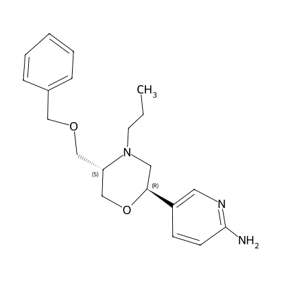 CCCN1C[C@@H](c2ccc(N)nc2)OC[C@@H]1COCc1ccccc1